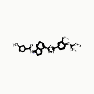 CC(C)Oc1ccc(-c2nnc(-c3cccc4c3CC/C4=N/C(=O)C3CCC(O)C3)s2)cc1N